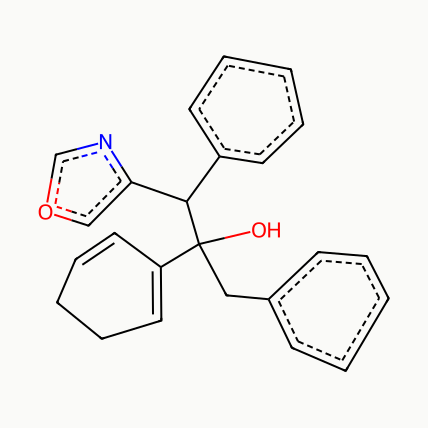 OC(Cc1ccccc1)(C1=CCCC=C1)C(c1ccccc1)c1cocn1